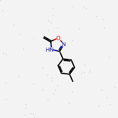 C=C1NC(c2ccc(C)cc2)=NO1